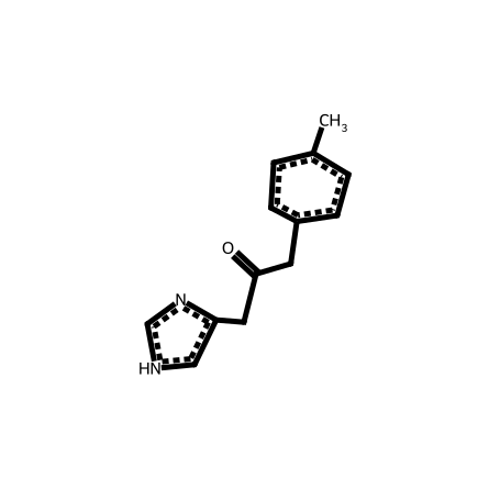 Cc1ccc(CC(=O)Cc2c[nH]cn2)cc1